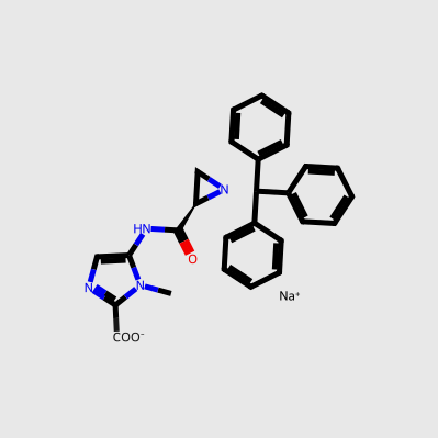 Cn1c(NC(=O)[C@H]2C[N@@]2C(c2ccccc2)(c2ccccc2)c2ccccc2)cnc1C(=O)[O-].[Na+]